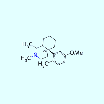 COc1ccc(C)c([C@]23CCCCC2C(C)N(C)CC3)c1